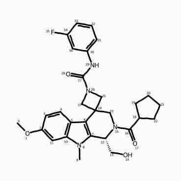 COc1ccc2c3c(n(C)c2c1)[C@@H](CO)N(C(=O)C1CCCC1)CC31CN(C(=O)Nc2cccc(F)c2)C1